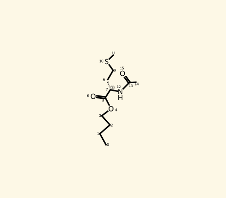 CCCCOC(=O)[C@H](CCSC)NC(C)=O